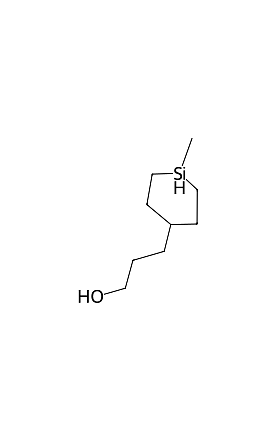 C[SiH]1CCC(CCCO)CC1